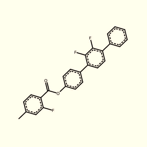 Cc1ccc(C(=O)Oc2ccc(-c3ccc(-c4ccccc4)c(F)c3F)cc2)c(F)c1